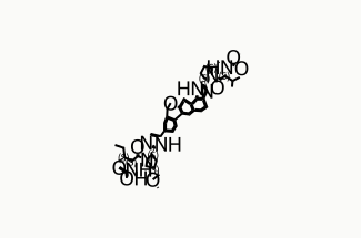 CC[C@H](C)[C@H](NC(=O)O)C(=O)N1C[C@@H](COC)C[C@H]1c1ncc(-c2ccc3c(c2)COc2cc4c(ccc5nc([C@@H]6CC[C@H](C)N6C(=O)[C@@H](NC(=O)OC)C(C)C)[nH]c54)cc2-3)[nH]1